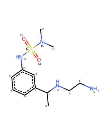 CC(NCCN)c1cccc(NS(=O)(=O)N(C)C)c1